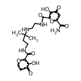 CC(C)(CCNC(=O)c1occc(=O)c1O)NCCNC(=O)c1oc(C(N)=O)cc(=O)c1O